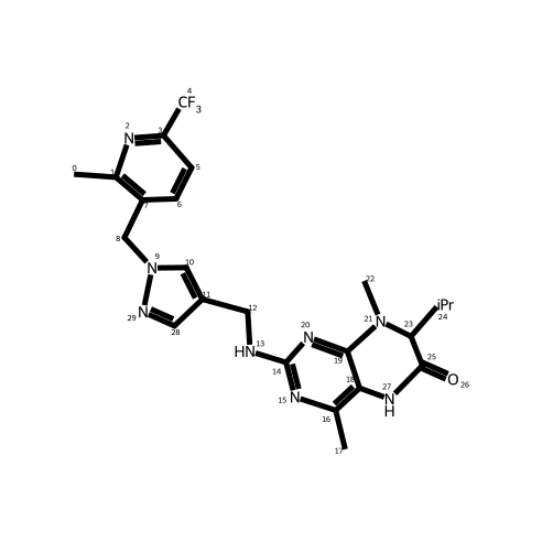 Cc1nc(C(F)(F)F)ccc1Cn1cc(CNc2nc(C)c3c(n2)N(C)C(C(C)C)C(=O)N3)cn1